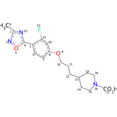 Cc1noc(-c2ccc(OCCCC3CCN(C(=O)O)CC3)cc2F)n1